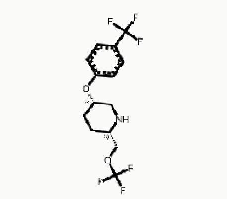 FC(F)(F)OC[C@@H]1CC[C@H](Oc2ccc(C(F)(F)F)cc2)CN1